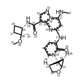 CNc1cc(Nc2cccn([C@]34C5OC[C@@H]3[C@H]54)c2=O)nc2c(C(=O)N[C@H]3CC[C@]3(C)OC)cnn12